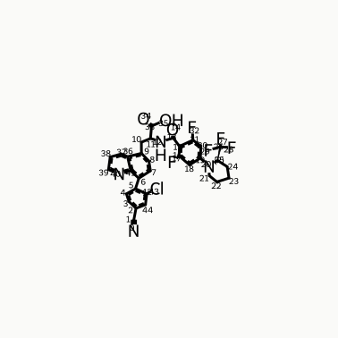 N#Cc1ccc(-c2ccc(CC(NC(=O)c3c(F)cc(N4CCCC[C@@H]4C(F)(F)F)cc3F)C(=O)O)c3cccnc23)c(Cl)c1